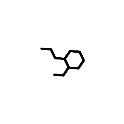 [CH2]CCC1CCCCC1CC